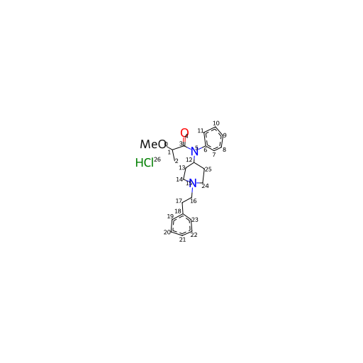 COC(C)C(=O)N(c1ccccc1)C1CCN(CCc2ccccc2)CC1.Cl